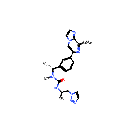 CCN(C(=O)NC(Cn1ccnn1)C(F)(F)F)[C@H](C)c1cccc(-c2cn3ccnc3c(OC)n2)c1